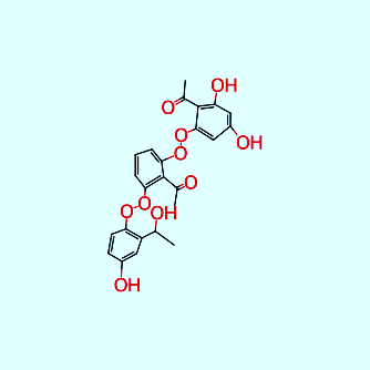 CC(=O)c1c(O)cc(O)cc1OOc1cccc(OOc2ccc(O)cc2C(C)O)c1C(C)=O